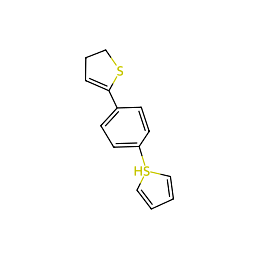 C1=C[SH](c2ccc(C3=CCCS3)cc2)C=C1